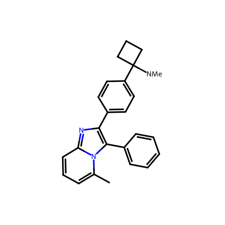 CNC1(c2ccc(-c3nc4cccc(C)n4c3-c3ccccc3)cc2)CCC1